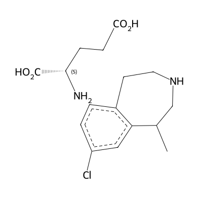 CC1CNCCc2ccc(Cl)cc21.N[C@@H](CCC(=O)O)C(=O)O